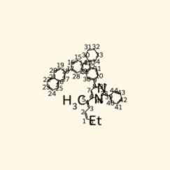 CC/C=C\C=C(/C)c1cc(-c2ccc(C3(c4ccc(-c5ccc6ccccc6c5)cc4)CCCCC3)cc2)nc(-c2ccccc2)n1